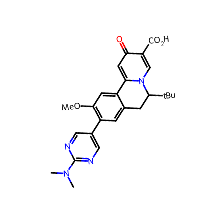 COc1cc2c(cc1-c1cnc(N(C)C)nc1)CC(C(C)(C)C)n1cc(C(=O)O)c(=O)cc1-2